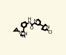 O=C(Nc1cccc(-c2nncn2C2CC2)c1)c1cc(-c2ccc(Cl)nc2)ccn1